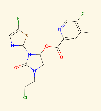 Cc1cc(C(=O)OC2CN(CCCl)C(=O)N2c2ncc(Br)s2)ncc1Cl